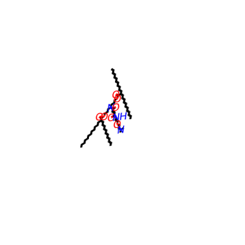 CCCCCCCCCCCCC(CCCCCCCCCCCC)C(=O)OCCCN(CCCOC(=O)C(CCCCCCCCCCCC)CCCCCCCCCCCC)C(=O)C=CC(=O)NCCOCCN(C)C